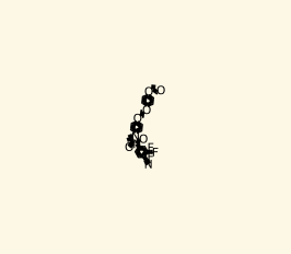 CC(C=O)OC1=CCC(OCCOc2ccc(N3C(=O)N(c4ccc(C#N)c(C(F)(F)F)c4)C(=O)C3(C)C)cc2)C=C1